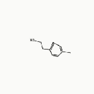 Cc1ccc(CCO)cc1